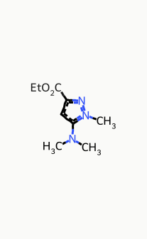 CCOC(=O)c1cc(N(C)C)n(C)n1